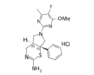 COc1nc(N2C[C@@H]3CN=C(N)S[C@@]3(c3ccccc3)C2)nc(C)c1F.Cl